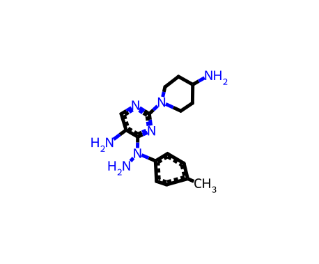 Cc1ccc(N(N)c2nc(N3CCC(N)CC3)ncc2N)cc1